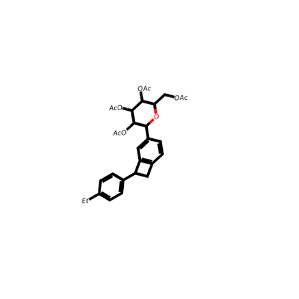 CCc1ccc(C2Cc3ccc(C4OC(COC(C)=O)C(OC(C)=O)C(OC(C)=O)C4OC(C)=O)cc32)cc1